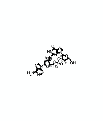 Nc1nc2c(ncn2[C@@H]2O[C@H](CO)[C@@H](F)[C@H]2OP(=O)(S)OC[C@H]2O[C@@H](n3cnc4c(N)ncnc43)C[C@@]2(O)F)c(=O)[nH]1